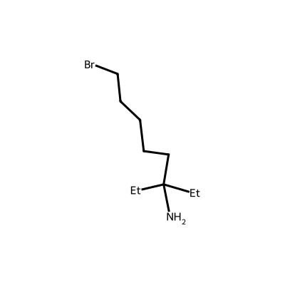 CCC(N)(CC)CCCCCBr